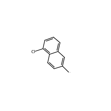 [CH2]c1ccc2c(Cl)cccc2c1